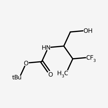 CC(C(CO)NC(=O)OC(C)(C)C)C(F)(F)F